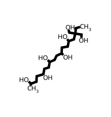 CCC(CO)(CO)CC(O)CCC(O)CCC(O)CCC(O)CCC(C)O